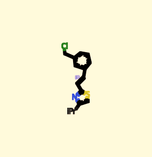 CC(C)c1csc(/C=C/c2cccc(CCl)c2)n1